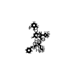 Cc1cc(OCc2c(F)cccc2F)c2nc(C3CC(F)(F)C3)c(C(=O)NCC(C)(CCC(F)(F)F)NC(=O)OCc3ccccc3)n2c1